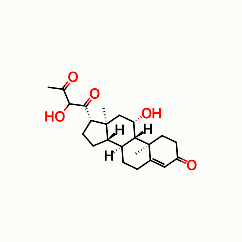 CC(=O)C(O)C(=O)[C@H]1CC[C@H]2[C@@H]3CCC4=CC(=O)CC[C@]4(C)[C@H]3[C@@H](O)C[C@]12C